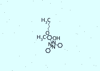 CCCCCCOc1cc(O)c(-c2nc(-c3ccccc3)nc(-c3ccccc3)n2)cc1C